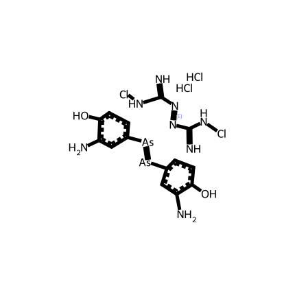 Cl.Cl.N=C(/N=N/C(=N)NCl)NCl.Nc1cc([As]=[As]c2ccc(O)c(N)c2)ccc1O